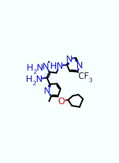 Cc1nc(/C(N)=C(\CNc2cc(C(F)(F)F)ncn2)N(C)N)ccc1OC1CCCCC1